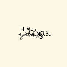 CC(C)(C)OC(=O)N1CCc2cc(N)c(C#CC3CC3)cc2CC1